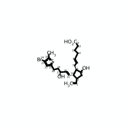 C=CC1CC(O)[C@H](CC=CCCCC(=O)O)[C@H]1C=C[C@@H](O)CCc1cc(Br)c(C)s1